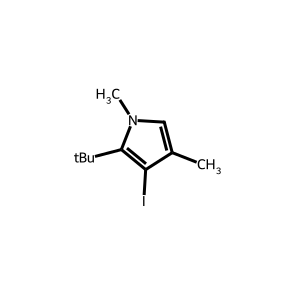 Cc1cn(C)c(C(C)(C)C)c1I